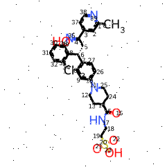 Cc1cc(/C(C[C@H](c2ccc(N3CCC(C(=O)NCCS(=O)(=O)O)CC3)cc2)c2ccccc2C)=N/O)ccn1